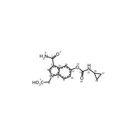 NC(=O)c1cn(CC(=O)O)c2ccc(OC(=O)NC3CC3)cc12